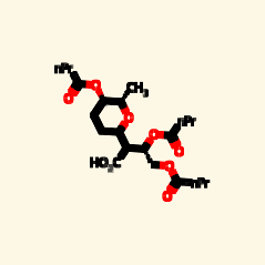 CCCC(=O)OC[C@@H](OC(=O)CCC)C(C(=O)O)C1CC[C@@H](OC(=O)CCC)[C@H](C)O1